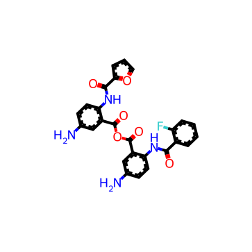 Nc1ccc(NC(=O)c2ccco2)c(C(=O)OC(=O)c2cc(N)ccc2NC(=O)c2ccccc2F)c1